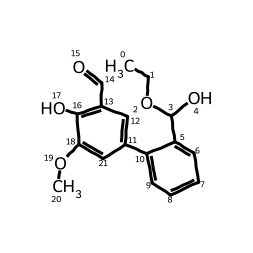 CCOC(O)c1ccccc1-c1cc(C=O)c(O)c(OC)c1